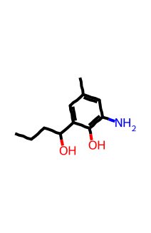 CCCC(O)c1cc(C)cc(N)c1O